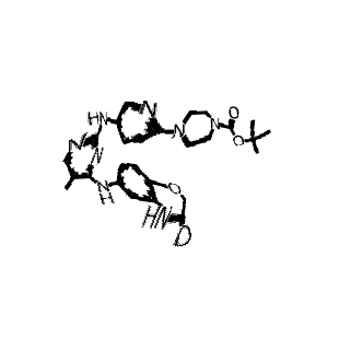 Cc1cnc(Nc2ccc(N3CCN(C(=O)OC(C)(C)C)CC3)nc2)nc1Nc1ccc2c(c1)NC(=O)CO2